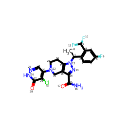 C[C@@H](c1ccc(F)cc1C(F)F)n1nc(C(N)=O)c2c1CCN(c1cn[nH]c(=O)c1Cl)C2